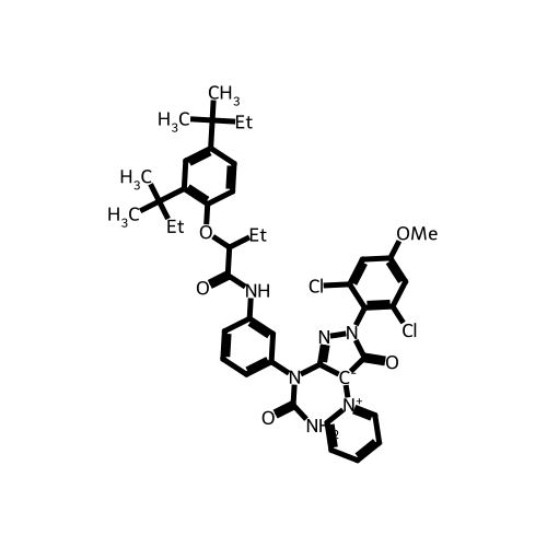 CCC(Oc1ccc(C(C)(C)CC)cc1C(C)(C)CC)C(=O)Nc1cccc(N(C(N)=O)c2nn(-c3c(Cl)cc(OC)cc3Cl)c(=O)[c-]2-[n+]2ccccc2)c1